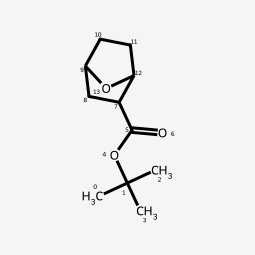 CC(C)(C)OC(=O)C1CC2CCC1O2